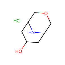 Cl.OC1CC2COCC(C1)N2